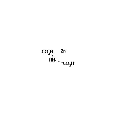 O=C(O)NC(=O)O.[Zn]